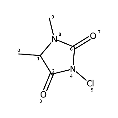 CC1C(=O)N(Cl)C(=O)N1C